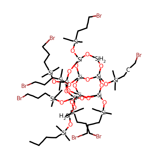 CCCC[Si](C)(C)O[SiH2]O[Si]1(O[Si](C)(C)CCCBr)O[Si]2(O[Si](C)(C)CCCBr)O[Si]3(O[Si](C)(C)CCCBr)O[SiH2]O[Si]4(O[Si](C)(C)CCCBr)O[Si](O[Si](C)(C)CCCBr)(O1)O[Si](O[Si](C)(C)CCCBr)(O2)O[Si](O[Si](C)(C)CCCBr)(O3)O4